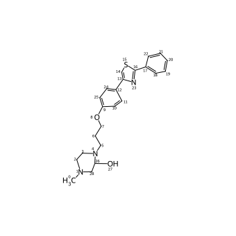 CN1CCN(CCCOc2ccc(-c3csc(-c4ccccc4)n3)cc2)C(O)C1